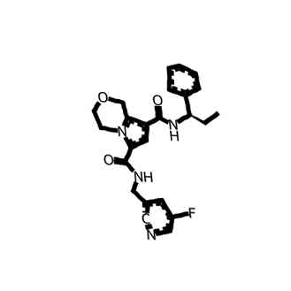 CC[C@@H](NC(=O)c1cc(C(=O)NCc2cncc(F)c2)n2c1COCC2)c1ccccc1